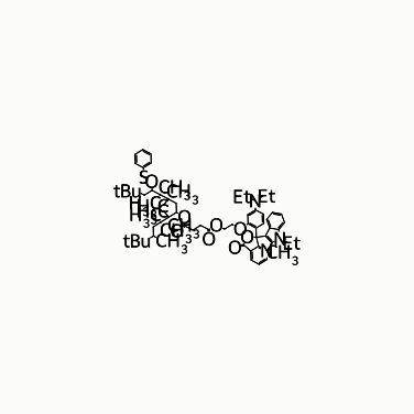 CCN(CC)c1ccc(C2(c3c(C)n(CC)c4ccccc34)OC(=O)c3cccnc32)c(OCCOC(=O)CCC(=O)OC(CC(C)(C)C(C)(C)C(CC(C)(C)C)OSc2ccccc2)C(C)(C)C(C)(C)CC(C)C(C)(C)C)c1